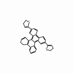 C1=Cc2c(c3ccccc3c3c4cc(C5=CCCS5)ccc4c4ccc(C5=CCCS5)cc4c23)CC1